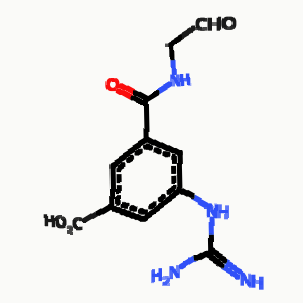 N=C(N)Nc1cc(C(=O)O)cc(C(=O)N[CH]C=O)c1